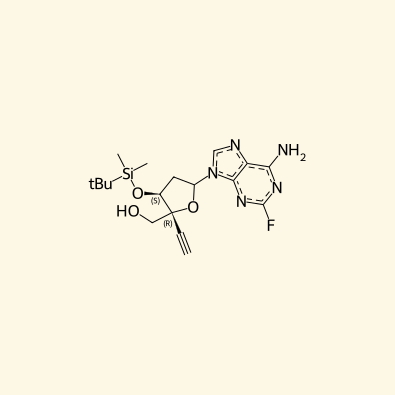 C#C[C@]1(CO)OC(n2cnc3c(N)nc(F)nc32)C[C@@H]1O[Si](C)(C)C(C)(C)C